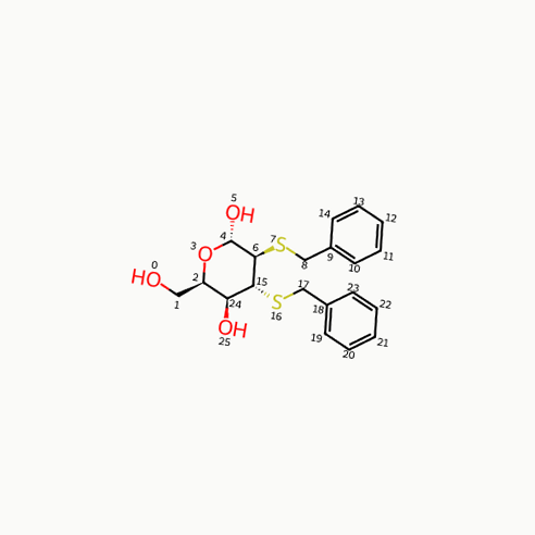 OC[C@H]1O[C@H](O)[C@@H](SCc2ccccc2)[C@H](SCc2ccccc2)[C@H]1O